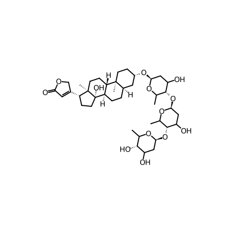 CC1O[C@@H](O[C@H]2C(O)C[C@H](O[C@H]3C(O)C[C@H](O[C@H]4CC[C@@]5(C)[C@H](CC[C@@H]6[C@@H]5CC[C@]5(C)[C@@H](C7=CC(=O)OC7)CC[C@]65O)C4)OC3C)OC2C)CC(O)[C@@H]1O